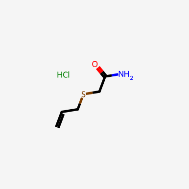 C=CCSCC(N)=O.Cl